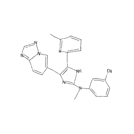 Cc1cccc(-c2[nH]c(N(C)c3cccc(C#N)c3)nc2-c2ccc3ncnn3c2)n1